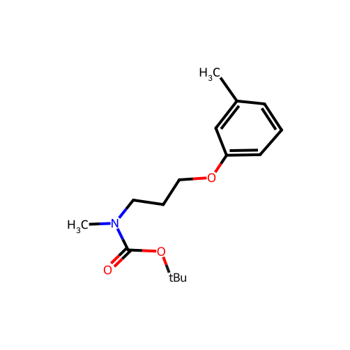 Cc1cccc(OCCCN(C)C(=O)OC(C)(C)C)c1